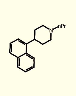 C[CH]CN1CCC(c2cccc3ccccc23)CC1